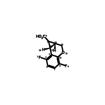 O=C(O)C1[C@H]2c3c(F)ccc(F)c3OC[C@@H]12